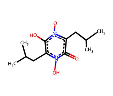 CC(C)Cc1c(O)[n+]([O-])c(CC(C)C)c(=O)n1O